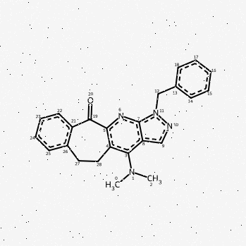 CN(C)c1c2c(nc3c1cnn3Cc1ccccc1)C(=O)c1ccccc1CC2